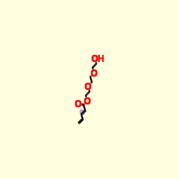 C=C/C=C/C(=O)OCCOCCOCCO